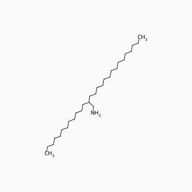 CCCCCCCCCCCCCCCC(CN)CCCCCCCCCCCC